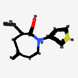 CNC1CC(C)CCN(c2ccsc2)C1=O